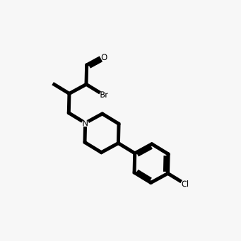 CC(CN1CCC(c2ccc(Cl)cc2)CC1)C(Br)C=O